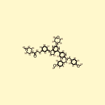 COc1ccc(CN(Cc2ccc(OC)cc2)c2ncc(-c3nc(N4CCOCC4)nc4c3CCN4c3cccc(CCC(=O)N4CCN(C)CC4)c3)cn2)cc1